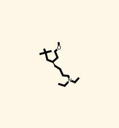 CCN(CC)CCCC[C@H](CCOC)CC(C)(C)C